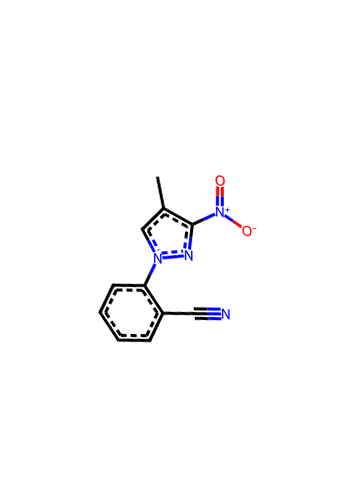 Cc1cn(-c2ccccc2C#N)nc1[N+](=O)[O-]